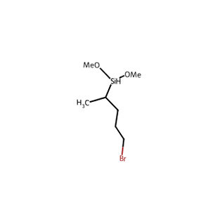 CO[SiH](OC)C(C)CCCBr